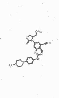 C#Cc1cc(N2C(=O)OCC2COC)nc2nc(Nc3ccc(N4CCN(C)CC4)cc3)ncc12